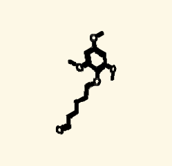 COc1cc(OC)c(OCCCCCC=O)c(OC)c1